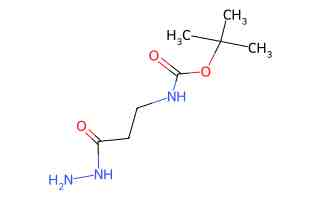 CC(C)(C)OC(=O)NCCC(=O)NN